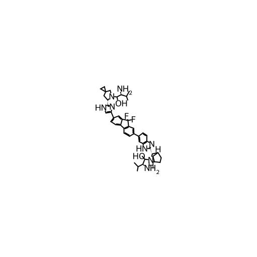 CC(C)[C@H](N)C(O)N1CC2(CC2)C[C@H]1c1nc(-c2ccc3c(c2)C(F)(F)c2cc(-c4ccc5nc([C@@H]6[C@H]7CC[C@H](C7)N6C(O)[C@@H](N)C(C)C)[nH]c5c4)ccc2-3)c[nH]1